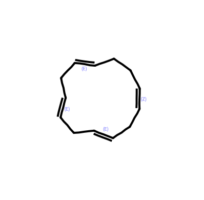 C1=C\CC/C=C/C/C=C/C/C=C/C/1